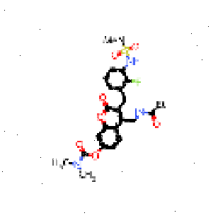 CCC(=O)NCc1c(Cc2cccc(NS(=O)(=O)NC)c2F)c(=O)oc2cc(OC(=O)N(C)C)ccc12